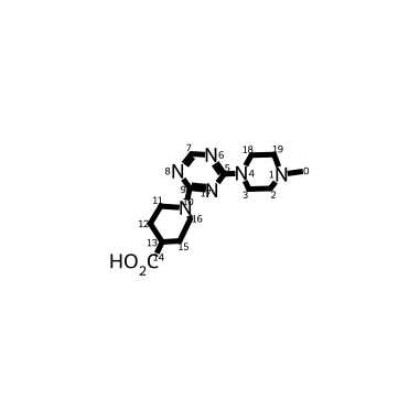 CN1CCN(c2ncnc(N3CCC(C(=O)O)CC3)n2)CC1